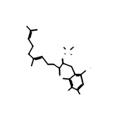 CC[Si](CC)(CC)OC1Cc2c(O)cc(C=O)c(C=O)c2O[C@@]1(C)CC/C=C(\C)CCC=C(C)C